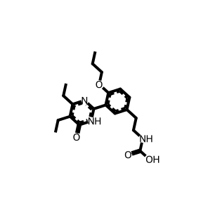 CCCOc1ccc(CCNC(=O)O)cc1-c1nc(CC)c(CC)c(=O)[nH]1